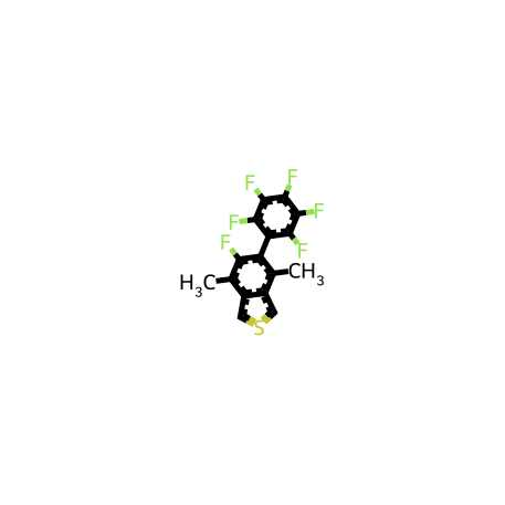 Cc1c(F)c(-c2c(F)c(F)c(F)c(F)c2F)c(C)c2cscc12